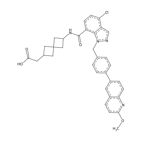 COc1ccc2cc(-c3ccc(Cn4ncc5c(Cl)ccc(C(=O)NC6CC7(CC(CC(=O)O)C7)C6)c54)cc3)ccc2n1